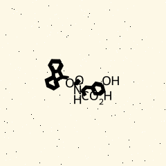 O=C(NC(Cc1cccc(O)c1)C(=O)O)OCC1c2ccccc2-c2ccccc21